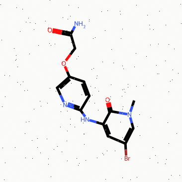 Cn1cc(Br)cc(Nc2ccc(OCC(N)=O)cn2)c1=O